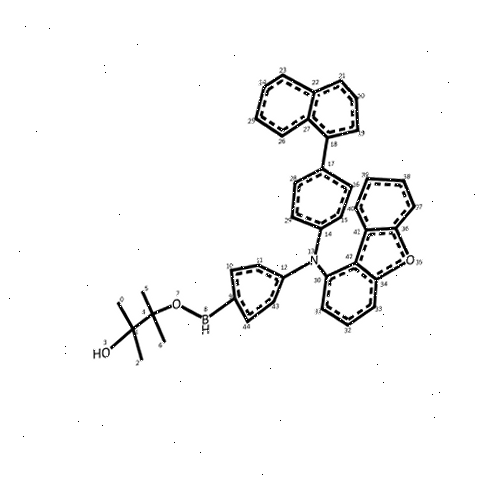 CC(C)(O)C(C)(C)OBc1ccc(N(c2ccc(-c3cccc4ccccc34)cc2)c2cccc3oc4ccccc4c23)cc1